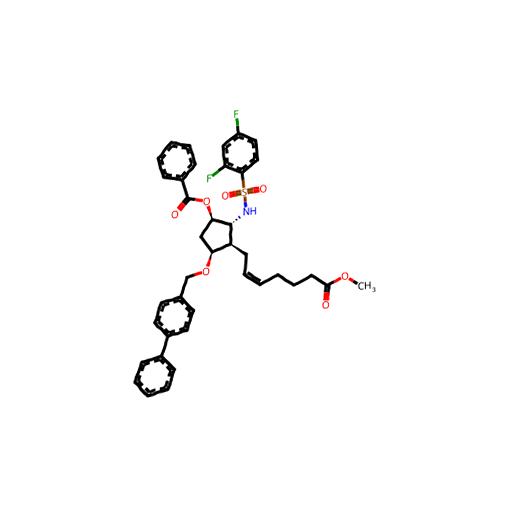 COC(=O)CCC/C=C\C[C@@H]1[C@@H](NS(=O)(=O)c2ccc(F)cc2F)[C@H](OC(=O)c2ccccc2)C[C@@H]1OCc1ccc(-c2ccccc2)cc1